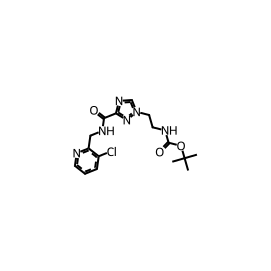 CC(C)(C)OC(=O)NCCn1cnc(C(=O)NCc2ncccc2Cl)n1